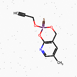 C#CCOP1(=S)OCc2cc(C)cnc2O1